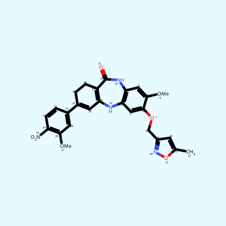 COc1cc2c(cc1OCc1cc(C)on1)NC1=C(CCC(c3ccc([N+](=O)[O-])c(OC)c3)=C1)C(=O)N2